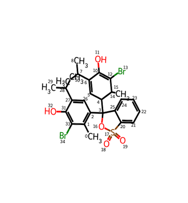 Cc1c(C2(C3C=C(C(C)C)C(O)=C(Br)C3C)OS(=O)(=O)c3ccccc32)cc(C(C)C)c(O)c1Br